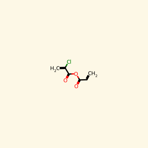 C=CC(=O)OC(=O)C(=C)Cl